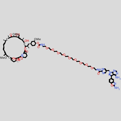 CO[C@H]1C[C@@H]2CC[C@@H](C)[C@@](O)(O2)C(=O)C(=O)N2CCCC[C@H]2C(=O)O[C@H]([C@H](C)C[C@@H]2CC[C@@H](OC(=O)NCCOCCOCCOCCOCCOCCOCCOCCOCCOCCNC(=O)c3ncc(Cn4nc(-c5ccc6oc(N)nc6c5)c5c(N)ncnc54)cn3)[C@H](OC)C2)C[C@@H](O)[C@H](C)/C=C(\C)[C@@H](O)[C@@H](OC)C(=O)[C@H](C)C[C@H](C)/C=C/C=C/C=C/1C